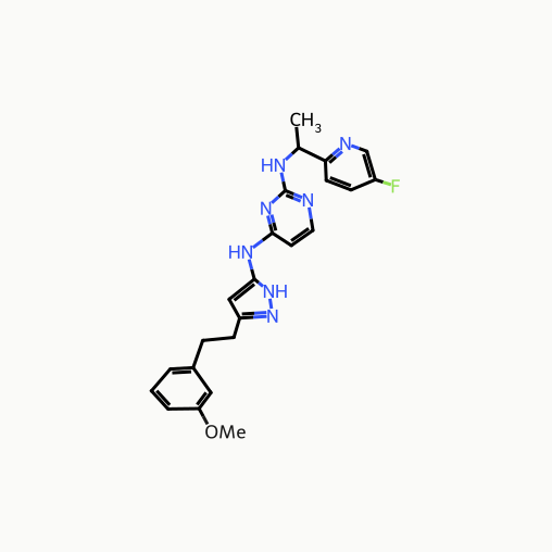 COc1cccc(CCc2cc(Nc3ccnc(NC(C)c4ccc(F)cn4)n3)[nH]n2)c1